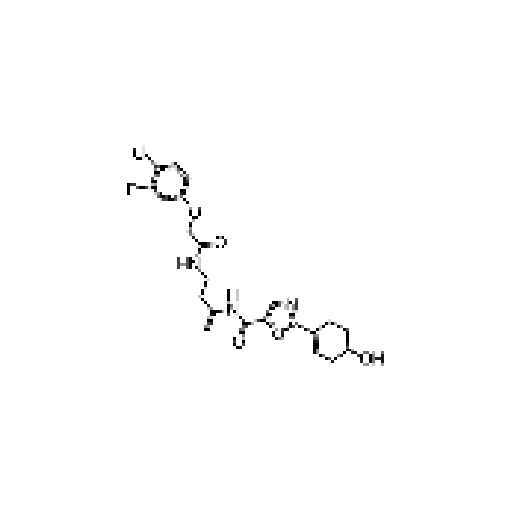 C=C(CCNC(=O)COc1ccc(Cl)c(F)c1)NC(=O)c1cnc(C2=CCC(O)CC2)o1